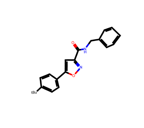 CC(C)(C)c1ccc(-c2cc(C(=O)NCc3ccccc3)no2)cc1